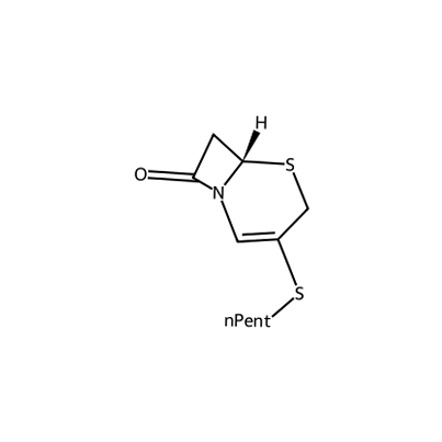 CCCCCSC1=CN2C(=O)C[C@@H]2SC1